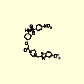 O=C(CO[C@H]1CC[C@H](NS(=O)(=O)c2ccc([N+](=O)[O-])cc2)CC1)N1CCN(Cc2nc3cc(C(F)(F)F)ccc3s2)CC1